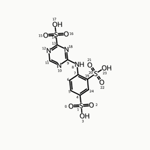 O=S(=O)(O)c1ccc(Nc2n[c]nc(S(=O)(=O)O)n2)c(S(=O)(=O)O)c1